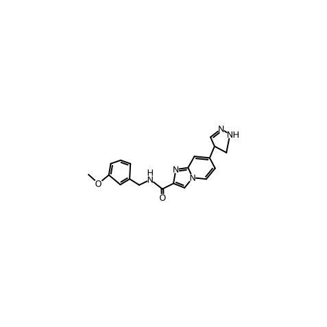 COc1cccc(CNC(=O)c2cn3ccc(C4C=NNC4)cc3n2)c1